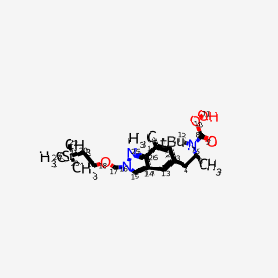 Cc1cc(CC(C)N(C(=O)OO)C(C)(C)C)cc2cn(COCC[Si](C)(C)C)nc12